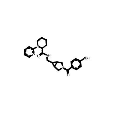 CC(C)(C)c1ccc(C(=O)N2CC3C(CNC(=O)C4CCCCN4c4cc[c]cn4)C3C2)cc1